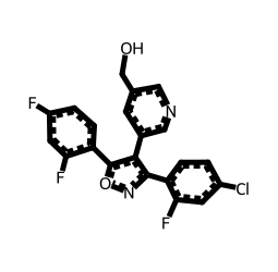 OCc1cncc(-c2c(-c3ccc(Cl)cc3F)noc2-c2ccc(F)cc2F)c1